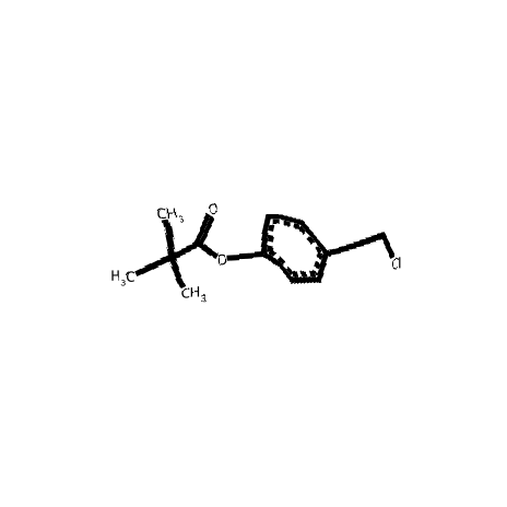 CC(C)(C)C(=O)Oc1ccc(CCl)cc1